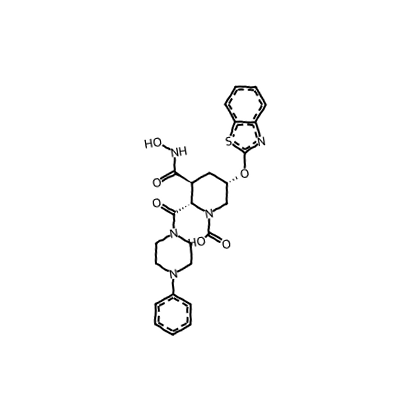 O=C(NO)[C@H]1C[C@H](Oc2nc3ccccc3s2)CN(C(=O)O)[C@@H]1C(=O)N1CCN(c2ccccc2)CC1